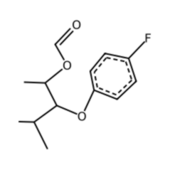 CC(C)C(Oc1ccc(F)cc1)C(C)OC=O